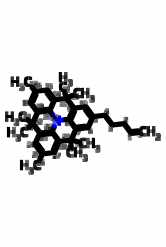 C=CCCCc1cc2c3c(c1)C(C)(C)c1cc(C)cc4c1N3c1c(cc(C)cc1C2(C)C)C4(C)C